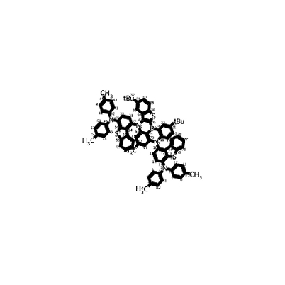 Cc1ccc(N(c2ccc(C)cc2)c2ccc(N3c4ccc(C(C)(C)C)cc4B4c5sc6ccc(C(C)(C)C)cc6c5N(c5ccc(N(c6ccc(C)cc6)c6ccc(C)cc6)c6sc7ccccc7c56)c5cc(C)cc3c54)c3c2sc2ccccc23)cc1